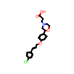 O=C(O)CCN1CCOC(c2ccc(OCC=Cc3ccc(Cl)cc3)cc2)C1